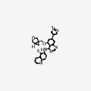 Cn1cc(-c2cc(OC[C@]34COC[C@H]3C4)c3c(Nc4ccc5ncccc5c4F)ncnc3c2)cn1